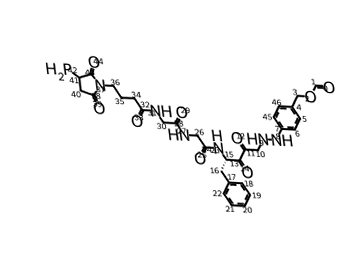 O=COCc1ccc(NNCC(=O)C(=O)[C@H](Cc2ccccc2)NC(=O)CNC(=O)CNC(=O)CCCN2C(=O)CC(P)C2=O)cc1